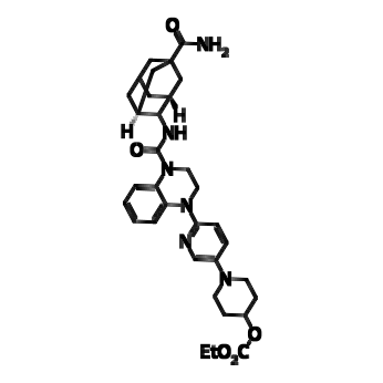 CCOC(=O)OC1CCN(c2ccc(N3CCN(C(=O)NC4[C@@H]5CC6C[C@H]4CC(C(N)=O)(C6)C5)c4ccccc43)nc2)CC1